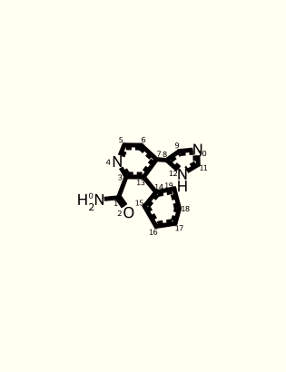 NC(=O)c1nccc(-c2cnc[nH]2)c1-c1ccccc1